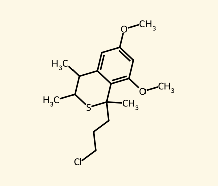 COc1cc(OC)c2c(c1)C(C)C(C)SC2(C)CCCCl